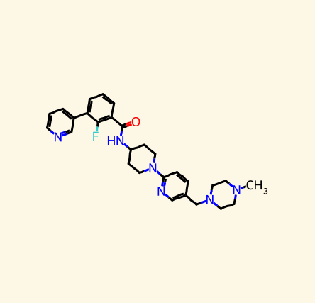 CN1CCN(Cc2ccc(N3CCC(NC(=O)c4cccc(-c5cccnc5)c4F)CC3)nc2)CC1